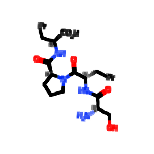 CC(C)C[C@H](NC(=O)[C@@H]1CCCN1C(=O)[C@H](CC(C)C)NC(=O)[C@@H](N)CO)C(=O)O